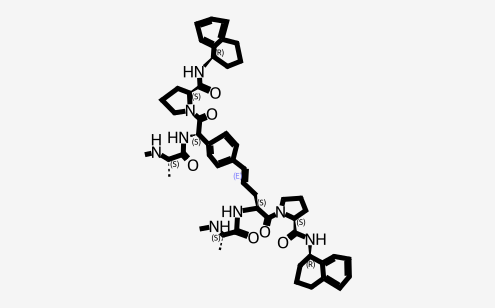 CN[C@@H](C)C(=O)N[C@@H](C/C=C/c1ccc([C@H](NC(=O)[C@H](C)NC)C(=O)N2CCC[C@H]2C(=O)N[C@@H]2CCCc3ccccc32)cc1)C(=O)N1CCC[C@H]1C(=O)N[C@@H]1CCCc2ccccc21